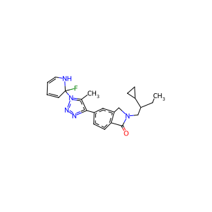 CCC(CN1Cc2cc(-c3nnn(C4(F)C=CC=CN4)c3C)ccc2C1=O)C1CC1